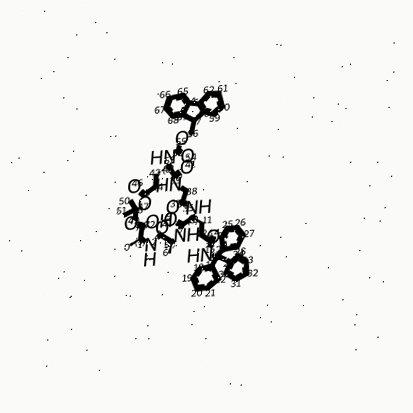 C[C@H](NC(=O)[C@H](C)NC(=O)[C@H](CCC(=O)NC(c1ccccc1)(c1ccccc1)c1ccccc1)NC(=O)CNC(=O)[C@H](CCC(=O)OC(C)(C)C)NC(=O)OCC1c2ccccc2-c2ccccc21)C(=O)O